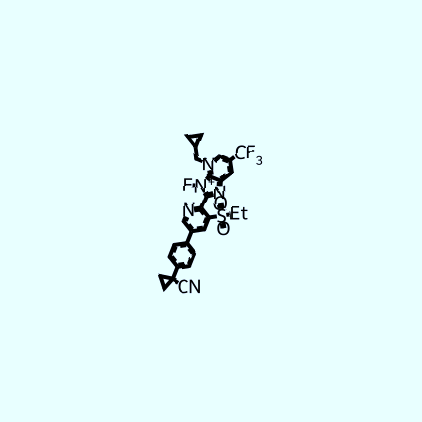 CCS(=O)(=O)c1cc(-c2ccc(C3(C#N)CC3)cc2)cnc1-c1nc2cc(C(F)(F)F)cn(CC3CC3)c-2[n+]1F